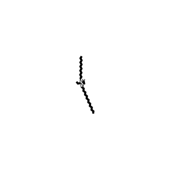 CCCCCCCCCCCCCCCn1cc[n+](CCCCCCCCCCCC)c1CC